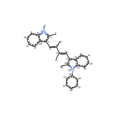 CC(=C\c1c(C)n(C)c2ccccc12)/C(C)=C/c1c(C)n(-c2ccccc2)c2ccccc12